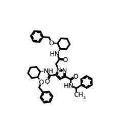 CC(NC(=O)c1cc(C(=O)N[C@H]2CCCC[C@@H]2OCc2ccccc2)n(CC(=O)N[C@H]2CCCC[C@@H]2OCc2ccccc2)n1)c1ccccc1